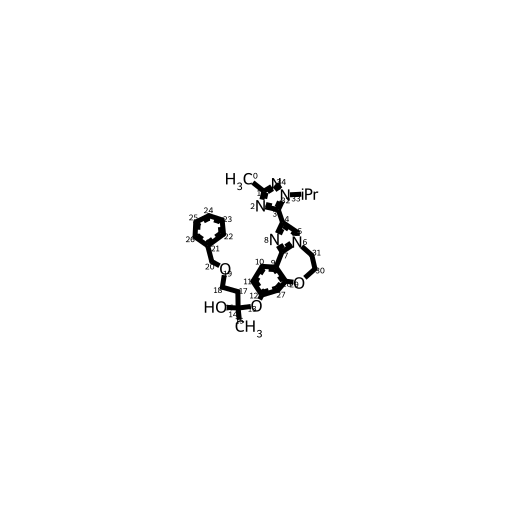 Cc1nc(-c2cn3c(n2)-c2ccc(OC(C)(O)CCOCc4ccccc4)cc2OCC3)n(C(C)C)n1